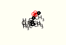 Cc1cc(-c2cc3c(c([N+](=O)[O-])c2C)C(C)(C)CCC3(C)C)ccc1C(=O)OC(=O)c1ccccc1